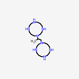 CC(CN1CCCNCCNCCCNCC1)N1CCCNCCNCCCNCC1